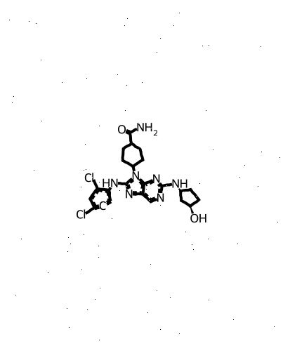 NC(=O)C1CCC(n2c(Nc3ccc(Cl)cc3Cl)nc3cnc(N[C@@H]4CC[C@@H](O)C4)nc32)CC1